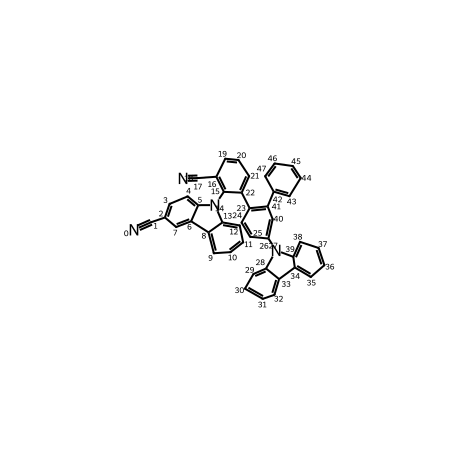 N#Cc1ccc2c(c1)c1ccccc1n2-c1c(C#N)cccc1-c1ccc(-n2c3ccccc3c3ccccc32)cc1-c1ccccc1